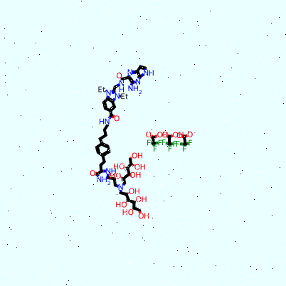 CCn1c(CNC(=O)c2nc3cc[nH]c3nc2N)[n+](CC)c2ccc(C(=O)NCCCCc3ccc(CCC(NCCCN(C[C@H](O)[C@@H](O)[C@H](O)[C@H](O)CO)C[C@H](O)[C@@H](O)[C@H](O)[C@H](O)CO)C(N)=O)cc3)cc21.O=C(O)C(F)(F)F.O=C(O)C(F)(F)F.O=C([O-])C(F)(F)F